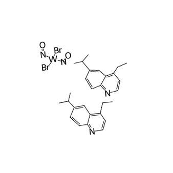 CCc1ccnc2ccc(C(C)C)cc12.CCc1ccnc2ccc(C(C)C)cc12.O=[N][W]([Br])([Br])[N]=O